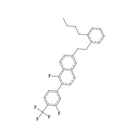 CCCCc1ccccc1CCc1ccc2c(F)c(-c3ccc(C(F)(F)F)c(F)c3)ccc2c1